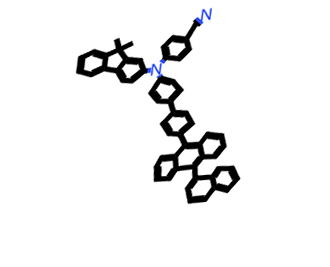 CC1(C)c2ccccc2-c2ccc(N(c3ccc(C#N)cc3)c3ccc(-c4ccc(-c5c6ccccc6c(-c6cccc7ccccc67)c6ccccc56)cc4)cc3)cc21